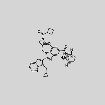 COc1cc(C(=O)N2C[C@H]3CC[C@@H]2[C@@H]3N)cc2nc(-c3cc4cccnc4n3CC3CC3)n(CC3CN(C(=O)C4CCC4)C3)c12